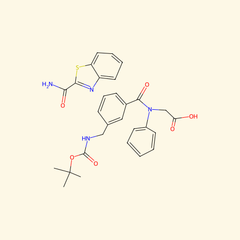 CC(C)(C)OC(=O)NCc1cccc(C(=O)N(CC(=O)O)c2ccccc2)c1.NC(=O)c1nc2ccccc2s1